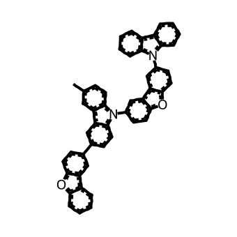 Cc1ccc2c(c1)c1cc(-c3ccc4oc5ccccc5c4c3)ccc1n2-c1ccc2oc3ccc(-n4c5ccccc5c5ccccc54)cc3c2c1